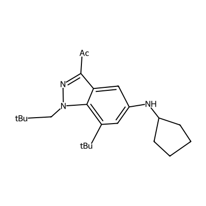 CC(=O)c1nn(CC(C)(C)C)c2c(C(C)(C)C)cc(NC3CCCC3)cc12